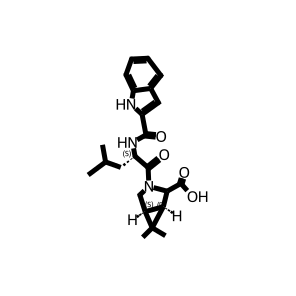 CC(C)C[C@H](NC(=O)c1cc2ccccc2[nH]1)C(=O)N1C[C@H]2[C@@H](C1C(=O)O)C2(C)C